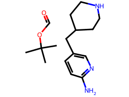 CC(C)(C)OC=O.Nc1ccc(CC2CCNCC2)cn1